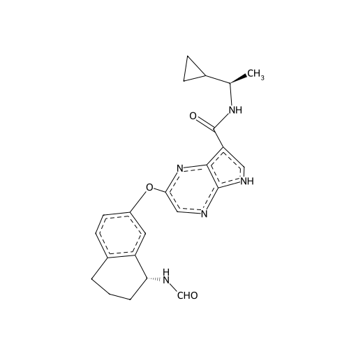 C[C@@H](NC(=O)c1c[nH]c2ncc(Oc3ccc4c(c3)[C@H](NC=O)CCC4)nc12)C1CC1